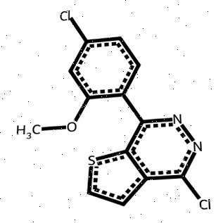 COc1cc(Cl)ccc1-c1nnc(Cl)c2ccsc12